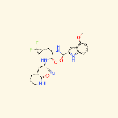 COc1cccc2[nH]c(C(=O)NC(CC3CC3(F)F)C(=O)N[C@H](C#N)CC3CCCNC3=O)cc12